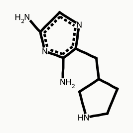 Nc1cnc(CC2CCNC2)c(N)n1